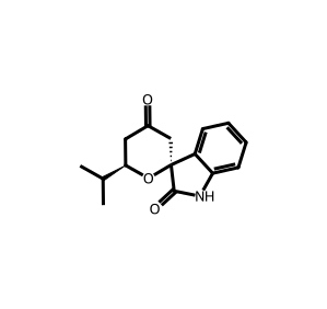 CC(C)[C@H]1CC(=O)C[C@@]2(O1)C(=O)Nc1ccccc12